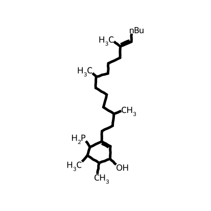 CCCC/C=C(\C)CCCC(C)CCCC(C)CCC1=CC(O)C(C)C(C)C1P